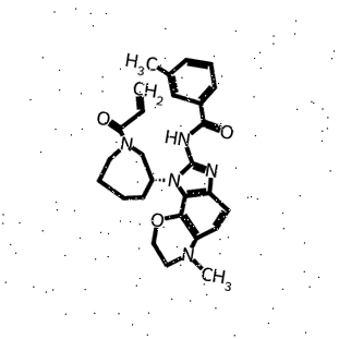 C=CC(=O)N1CCCC[C@@H](n2c(NC(=O)c3cccc(C)c3)nc3ccc4c(c32)OCCN4C)C1